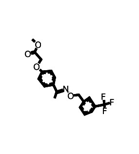 COC(=O)COc1ccc(C(C)=NOCc2cccc(C(F)(F)F)c2)cc1